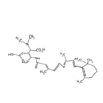 CC(C=CC1=C(C)CCCC1(C)C)=CC=CC(C)=CC(=O)Nc1ccc(O)cc1C(C(=O)O)N(C)C